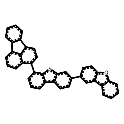 c1ccc2c(c1)-c1cccc3c(-c4cccc5c4sc4cc(-c6ccc7oc8ccccc8c7c6)ccc45)ccc-2c13